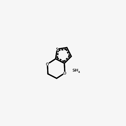 [SiH4].c1cc2c(s1)OCCO2